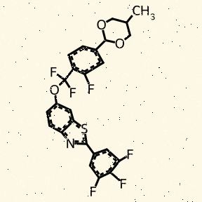 CC1COC(c2ccc(C(F)(F)Oc3ccc4nc(-c5cc(F)c(F)c(F)c5)sc4c3)c(F)c2)OC1